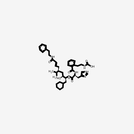 CC(C)[C@@H](C/C=C/C(=O)NCCc1ccccc1)C[C@H](O)[C@H](CC1CCCCC1)NC(=O)[C@H](Cc1c[nH]cn1)NC(=O)c1ccccc1CCNC(=O)O